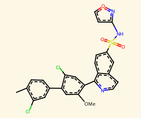 COc1cc(-c2ccc(C)c(Cl)c2)c(Cl)cc1-c1nccc2cc(S(=O)(=O)Nc3ccon3)ccc12